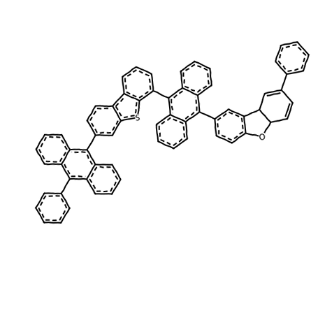 C1=CC2Oc3ccc(-c4c5ccccc5c(-c5cccc6c5sc5cc(-c7c8ccccc8c(-c8ccccc8)c8ccccc78)ccc56)c5ccccc45)cc3C2C=C1c1ccccc1